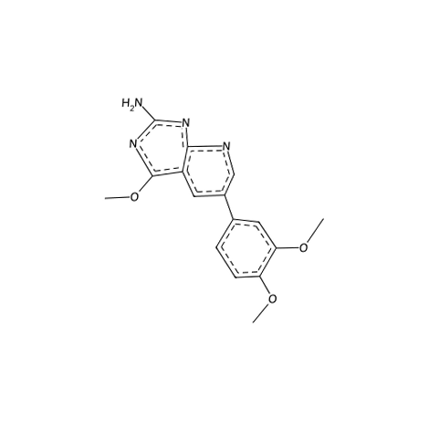 COc1ccc(-c2cnc3nc(N)nc(OC)c3c2)cc1OC